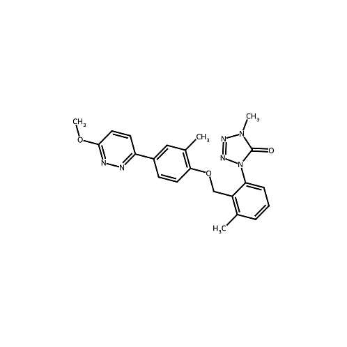 COc1ccc(-c2ccc(OCc3c(C)cccc3-n3nnn(C)c3=O)c(C)c2)nn1